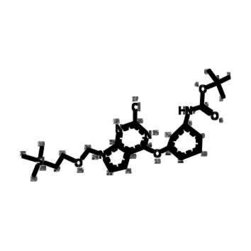 CC(C)(C)OC(=O)Nc1cccc(Oc2nc(Cl)nc3c2ccn3COCC[Si](C)(C)C)c1